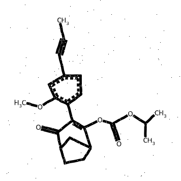 CC#Cc1ccc(C2=C(OC(=O)OC(C)C)C3CCC(C3)C2=O)c(OC)c1